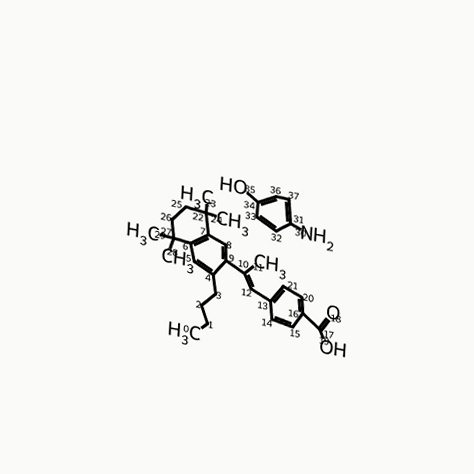 CCCCc1cc2c(cc1C(C)=Cc1ccc(C(=O)O)cc1)C(C)(C)CCC2(C)C.Nc1ccc(O)cc1